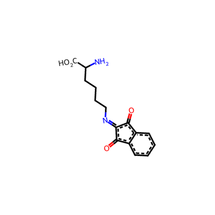 NC(CCCCN=c1c(=O)c2ccccc2c1=O)C(=O)O